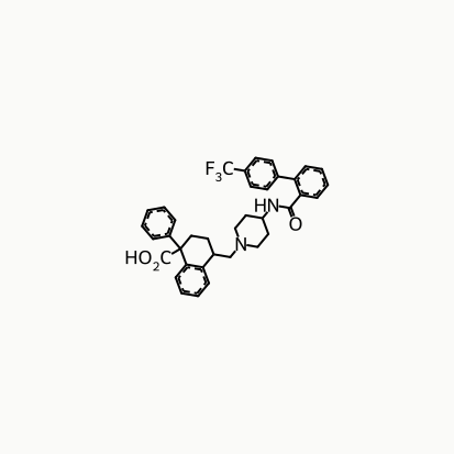 O=C(NC1CCN(CC2CCC(C(=O)O)(c3ccccc3)c3ccccc32)CC1)c1ccccc1-c1ccc(C(F)(F)F)cc1